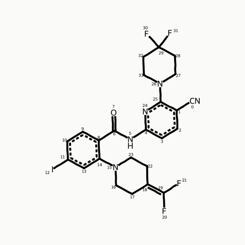 N#Cc1ccc(NC(=O)c2ccc(I)cc2N2CCC(=C(F)F)CC2)nc1N1CCC(F)(F)CC1